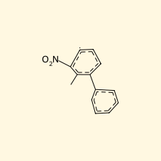 Cc1c([N+](=O)[O-])[c]ccc1-c1ccccc1